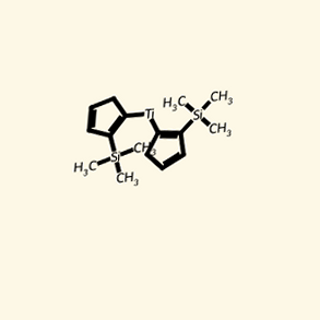 C[Si](C)(C)C1=[C]([Ti][C]2=C([Si](C)(C)C)C=CC2)CC=C1